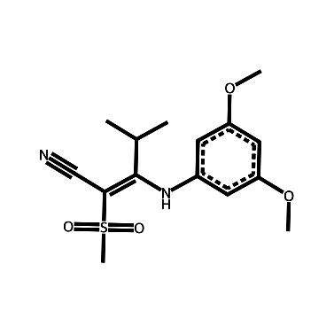 COc1cc(NC(=C(C#N)S(C)(=O)=O)C(C)C)cc(OC)c1